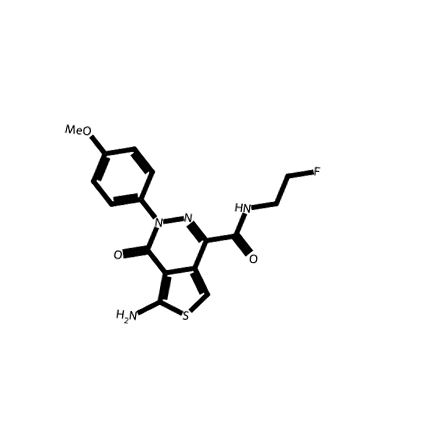 COc1ccc(-n2nc(C(=O)NCCF)c3csc(N)c3c2=O)cc1